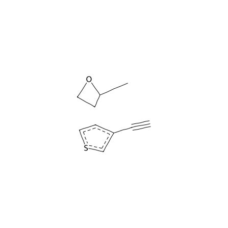 C#Cc1ccsc1.CC1CCO1